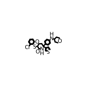 O=C1CC(c2ccc(NC3CCOCC3)cc2)(c2ccsc2)NC(=O)C1Sc1ccccc1Cl